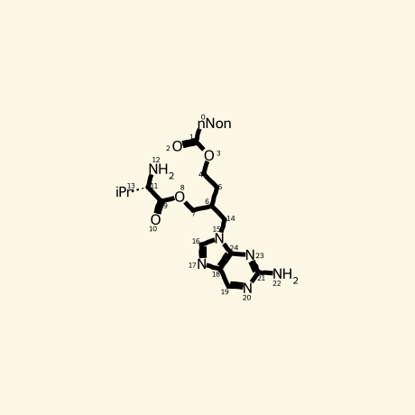 CCCCCCCCCC(=O)OCCC(COC(=O)[C@@H](N)C(C)C)Cn1cnc2cnc(N)nc21